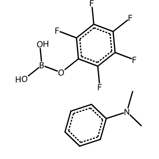 CN(C)c1ccccc1.OB(O)Oc1c(F)c(F)c(F)c(F)c1F